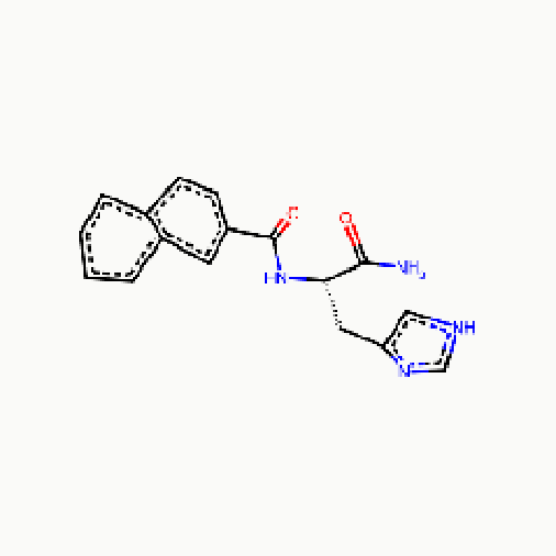 NC(=O)[C@H](Cc1c[nH]cn1)NC(=O)c1ccc2ccccc2c1